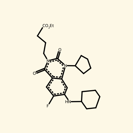 CCOC(=O)CCCn1c(=O)c2cc(F)c(NC3CCCCC3)cc2n(C2CCCC2)c1=O